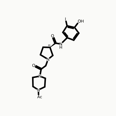 CC(=O)N1CCN(C(=O)CN2CC[C@@H](C(=O)Nc3ccc(O)c(I)c3)C2)CC1